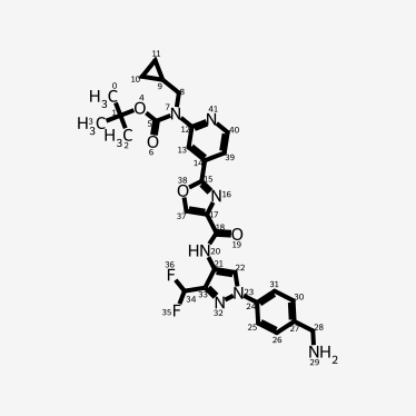 CC(C)(C)OC(=O)N(CC1CC1)c1cc(-c2nc(C(=O)Nc3cn(-c4ccc(CN)cc4)nc3C(F)F)co2)ccn1